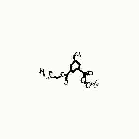 CCOC(=O)c1cc(CCl)cc(C(=O)OC)c1